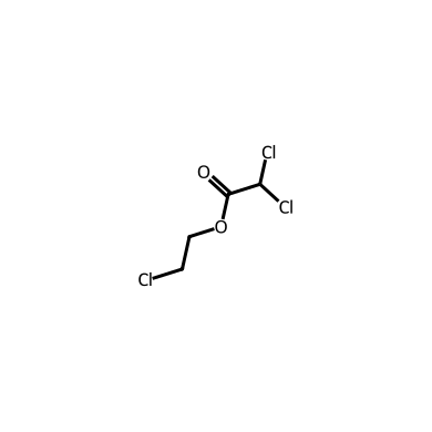 O=C(OCCCl)C(Cl)Cl